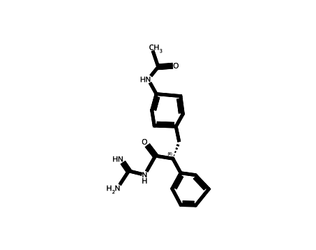 CC(=O)Nc1ccc(C[C@@H](C(=O)NC(=N)N)c2ccccc2)cc1